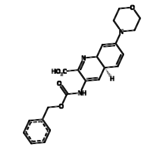 O=C(NC1=C[C@@H]2C=CC(N3CCOCC3)=CC2N=C1C(=O)O)OCc1ccccc1